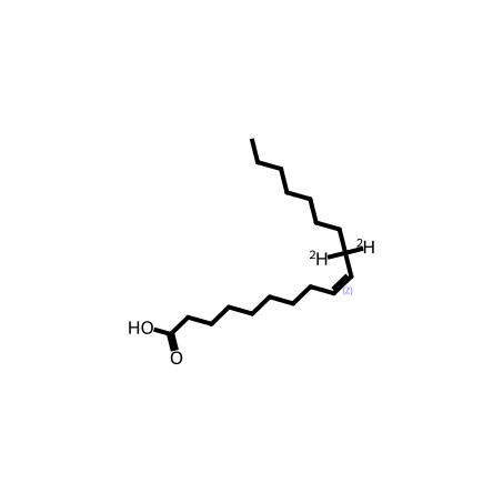 [2H]C([2H])(/C=C\CCCCCCCC(=O)O)CCCCCCC